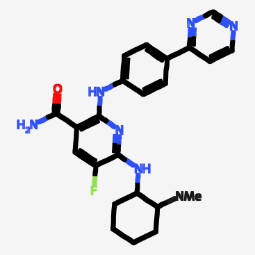 CNC1CCCCC1Nc1nc(Nc2ccc(-c3ccncn3)cc2)c(C(N)=O)cc1F